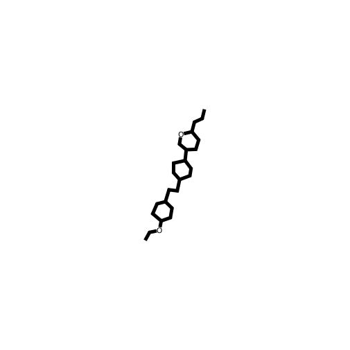 CCCC1CCC(C2CCC(CCC3CCC(OCC)CC3)CC2)CO1